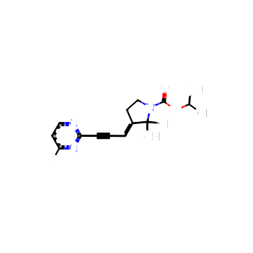 Cc1ccnc(C#C/C=C2\CCN(C(=O)OC(C)C)C2(C)C)n1